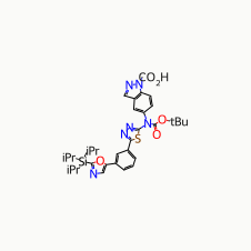 CC(C)[Si](c1ncc(-c2cccc(-c3nnc(N(C(=O)OC(C)(C)C)c4ccc5c(cnn5C(=O)O)c4)s3)c2)o1)(C(C)C)C(C)C